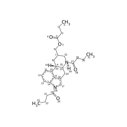 CCCC(=O)OCC1C[C@H]2c3cccc4c3c(cn4C(=O)CCC)C[C@@H]2N(C(=O)CCC)C1